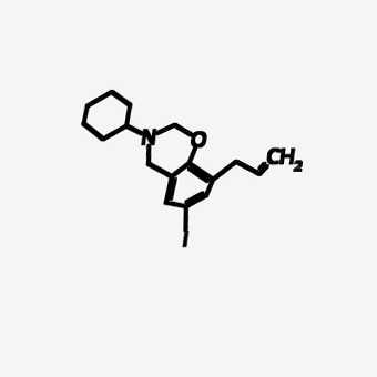 C=CCc1cc(I)cc2c1OCN(C1CCCCC1)C2